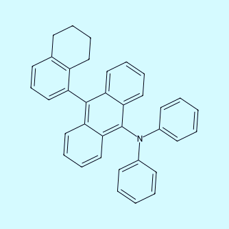 c1ccc(N(c2ccccc2)c2c3ccccc3c(-c3cccc4c3CCCC4)c3ccccc23)cc1